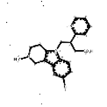 CN1CCc2c(c3cc(Cl)ccc3n2CC(CC(=O)O)c2ccccn2)C1